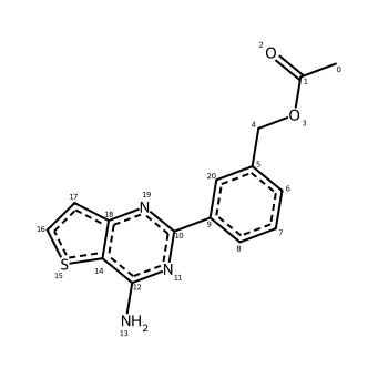 CC(=O)OCc1cccc(-c2nc(N)c3sccc3n2)c1